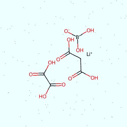 O=C(O)C(=O)O.O=C(O)CC(=O)O.[Li+].[O-]B(O)O